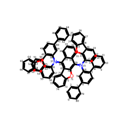 c1ccc(-c2ccc(-c3ccccc3)c(N(c3cccc4c3oc3ccccc34)c3c4ccccc4c(N(c4cc(-c5ccccc5)ccc4-c4ccccc4)c4cccc5c4oc4ccccc45)c4c3oc3ccccc34)c2)cc1